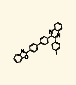 Cc1ccc(-c2nc3ccccc3nc2-c2ccc(-c3ccc(-c4nc5ccccc5o4)cc3)cc2)cc1